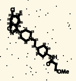 COCCC(=O)N[C@H]1CC[C@H](CCN2CCN(c3noc4cc(Cl)c(F)cc34)CC2)CC1